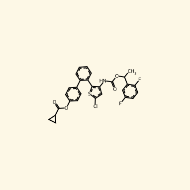 CC(OC(=O)Nc1cc(Cl)sc1-c1ccccc1-c1ccc(OC(=O)C2CC2)cc1)c1cc(F)ccc1F